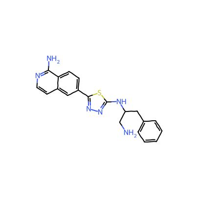 NCC(Cc1ccccc1)Nc1nnc(-c2ccc3c(N)nccc3c2)s1